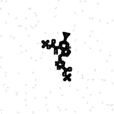 CC(C)(C)OC(=O)Nc1cc(C2CC2)c[n+]2ccn(Cn3cc(C(=O)OC(C)(C)C)nn3)c12